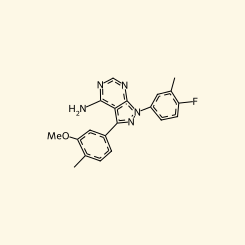 COc1cc(-c2nn(-c3ccc(F)c(C)c3)c3ncnc(N)c23)ccc1C